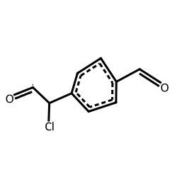 O=[C]C(Cl)c1ccc(C=O)cc1